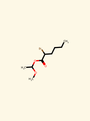 CCCCC(Br)C(=O)OC(C)OC